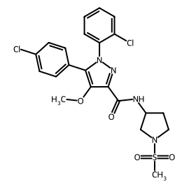 COc1c(C(=O)NC2CCN(S(C)(=O)=O)C2)nn(-c2ccccc2Cl)c1-c1ccc(Cl)cc1